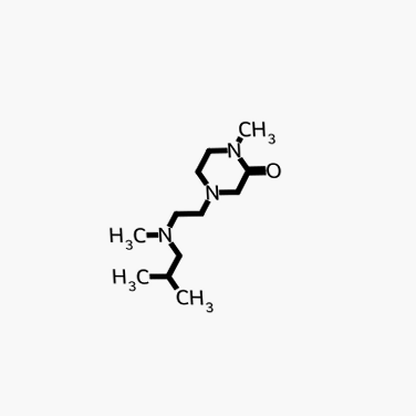 CC(C)CN(C)CCN1CCN(C)C(=O)C1